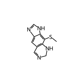 CSc1c2c(cc3nc[nH]c13)C=NCN2